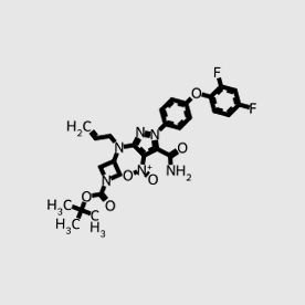 C=CCN(c1nn(-c2ccc(Oc3ccc(F)cc3F)cc2)c(C(N)=O)c1[N+](=O)[O-])C1CN(C(=O)OC(C)(C)C)C1